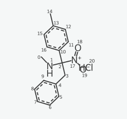 CNC(Cc1ccccc1)(c1ccc(C)cc1)[N+](=O)[O-].Cl